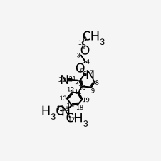 CCOCCOc1nccc(-c2ccc(N(C)C)cc2)c1C#N